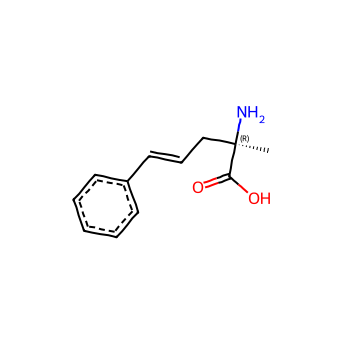 C[C@@](N)(CC=Cc1ccccc1)C(=O)O